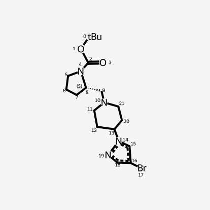 CC(C)(C)OC(=O)N1CCC[C@H]1CN1CCC(n2cc(Br)cn2)CC1